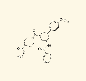 CC(C)(C)OC(=O)N1CCN(C(=O)N2CC(NC(=O)c3ccccc3)CC(c3ccc(OC(F)(F)F)cc3)C2)CC1